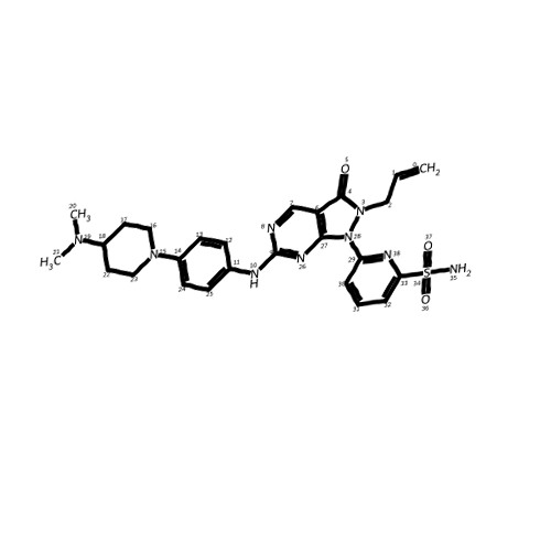 C=CCn1c(=O)c2cnc(Nc3ccc(N4CCC(N(C)C)CC4)cc3)nc2n1-c1cccc(S(N)(=O)=O)n1